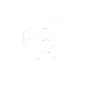 N=C(NCCBr)Nc1cccc(OC(F)(F)F)c1.c1cc2cc-2c1